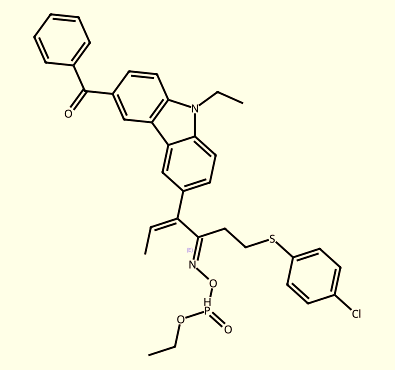 CC=C(/C(CCSc1ccc(Cl)cc1)=N/O[PH](=O)OCC)c1ccc2c(c1)c1cc(C(=O)c3ccccc3)ccc1n2CC